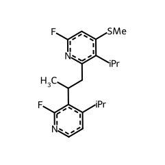 CSc1cc(F)nc(CC(C)c2c(C(C)C)ccnc2F)c1C(C)C